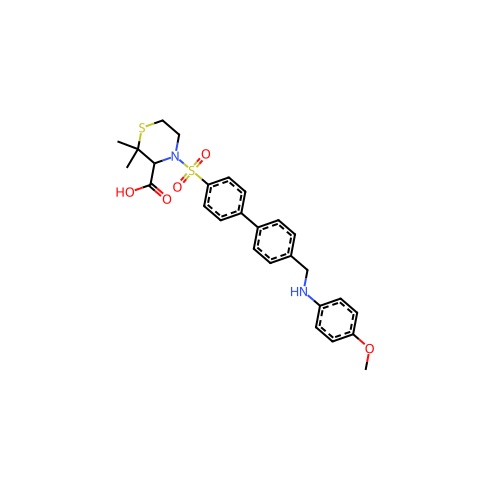 COc1ccc(NCc2ccc(-c3ccc(S(=O)(=O)N4CCSC(C)(C)C4C(=O)O)cc3)cc2)cc1